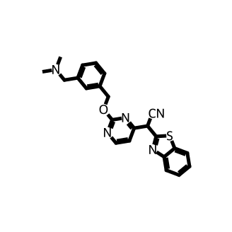 CN(C)Cc1cccc(COc2nccc(C(C#N)c3nc4ccccc4s3)n2)c1